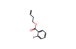 C=CCCOC(=O)c1ccccc1I